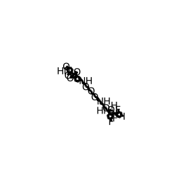 O=C1CCC(N2C(=O)c3ccc(NCCOCCOCCOCCNCCCONC(=O)c4ccc(F)c(F)c4Nc4ccc(I)cc4F)cc3C2=O)C(=O)N1